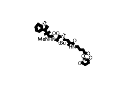 CN[C@H](C(=O)NC(C(=O)N(C)C/C=C(\C)C(=O)NCCCC(=O)ON1C(=O)CCC1=O)C(C)(C)C)C(C)(C)c1cn(C)c2ccccc12